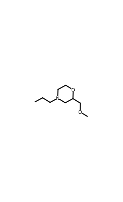 CCCN1CCOC(COC)C1